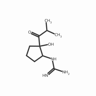 CC(C)C(=O)C1(O)CCCC1NC(=N)N